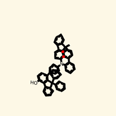 CC1(C)c2ccccc2-c2ccc(N(c3ccc(-c4ccc(O)c5c4C(c4ccccc4)(c4ccccc4)c4ccccc4-5)cc3)c3ccccc3-c3ccccc3)cc21